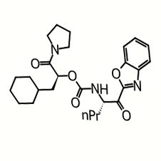 CCC[C@H](NC(=O)O[C@@H](CC1CCCCC1)C(=O)N1CCCC1)C(=O)c1nc2ccccc2o1